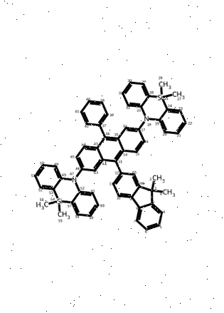 CC1(C)c2ccccc2-c2ccc(-c3c4ccc(N5c6ccccc6[Si](C)(C)c6ccccc65)cc4c(-c4ccccc4)c4ccc(N5c6ccccc6[Si](C)(C)c6ccccc65)cc34)cc21